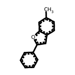 Cc1ccc2cc(-c3ccccc3)oc2c1